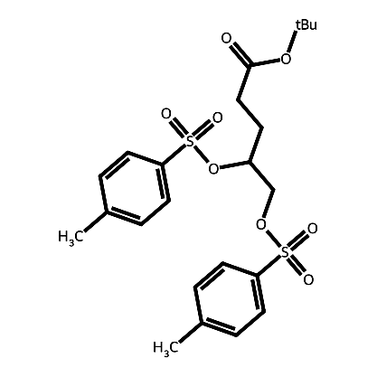 Cc1ccc(S(=O)(=O)OCC(CCC(=O)OC(C)(C)C)OS(=O)(=O)c2ccc(C)cc2)cc1